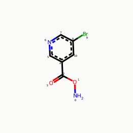 NOC(=O)c1cncc(Br)c1